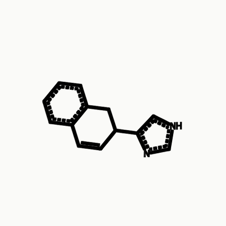 C1=CC(c2c[nH]cn2)Cc2ccccc21